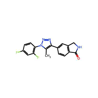 Cc1c(-c2ccc3c(c2)CNC3=O)nnn1-c1ccc(F)cc1F